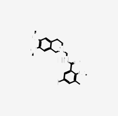 COc1cc2c(cc1OC)CN(CNC(=O)c1cc(I)cc(C)c1OC)CC2